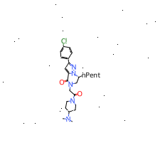 CCCCCC1CN(CC(=O)N2CCC(N(C)C)CC2)C(=O)c2cc(-c3ccc(Cl)cc3)nn21